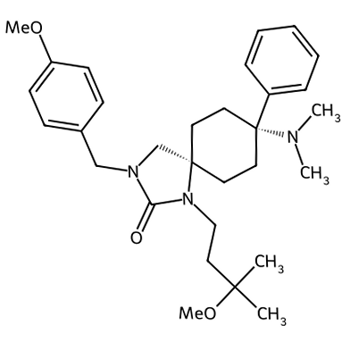 COc1ccc(CN2C[C@]3(CC[C@@](c4ccccc4)(N(C)C)CC3)N(CCC(C)(C)OC)C2=O)cc1